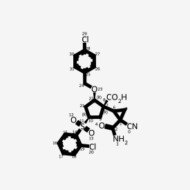 N#CC1(C(N)=O)CC1[C@]1(C(=O)O)C[C@@H](S(=O)(=O)c2ccccc2Cl)C[C@H]1OCc1ccc(Cl)cc1